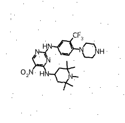 CN1C(C)(C)CC(Nc2nc(Nc3ccc(N4CCNCC4)c(C(F)(F)F)c3)ncc2[N+](=O)[O-])CC1(C)C